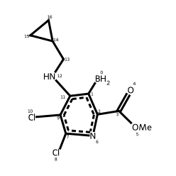 Bc1c(C(=O)OC)nc(Cl)c(Cl)c1NCC1CC1